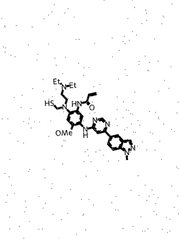 C=CC(=O)Nc1cc(Nc2cc(-c3ccc4c(cnn4C)c3)ncn2)c(OC)cc1N(CS)CCN(CC)CC